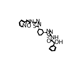 O=C(Cc1ccccn1)Nc1nnc([C@H]2CCC[C@H](c3nnc(NC(=O)[C@@H](O)c4ccccc4)s3)C2)s1